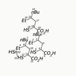 CCCCC(CC)CC(S)C(=O)O.CCCCC(CC)CC(S)C(=O)O.CCCCC(CC)CC(S)C(=O)O.[CH3][SnH]